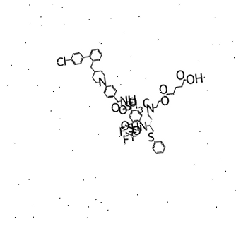 CN(CCOC(=O)CCCC(=O)O)CC[C@H](CSc1ccccc1)Nc1ccc(S(=O)(=O)NC(=O)c2ccc(N3CCC(Cc4ccccc4-c4ccc(Cl)cc4)CC3)cc2)cc1S(=O)(=O)C(F)(F)F